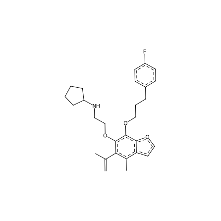 C=C(C)c1c(OCCNC2CCCC2)c(OCCCc2ccc(F)cc2)c2occc2c1C